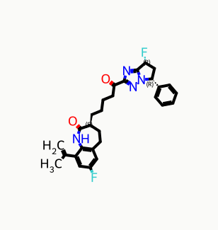 C=C(C)c1cc(F)cc2c1NC(=O)[C@@H](CCCCC(=O)c1nc3n(n1)[C@@H](c1ccccc1)C[C@H]3F)CC2